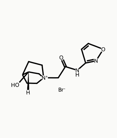 O=C(C[N+]12CCC(CC1)[C@@H](O)C2)Nc1ccon1.[Br-]